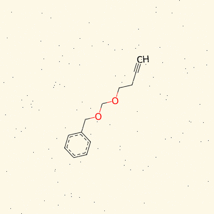 C#CCCOCOCc1ccccc1